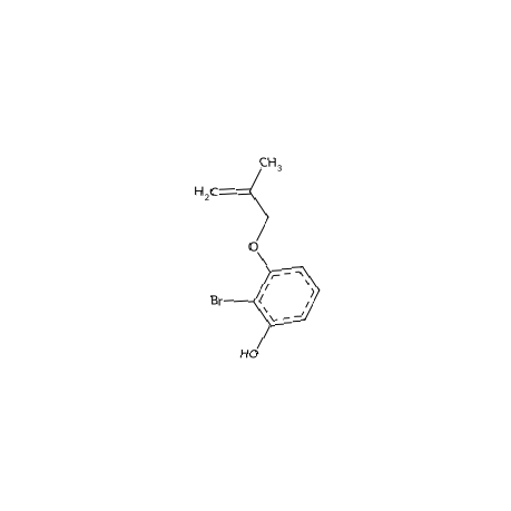 C=C(C)COc1cccc(O)c1Br